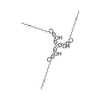 CCCC/C=C/CCCCCCCCCc1cccc(OCC(O)COCC(CC)(COCC(O)COc2cccc(CCCCCCCCC/C=C/CCCC)c2)COCC(O)COc2cccc(CCCCCCCCC/C=C/CCCC)c2)c1